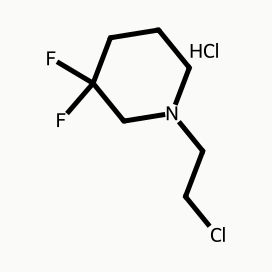 Cl.FC1(F)CCCN(CCCl)C1